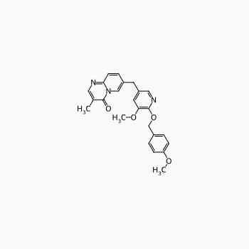 COc1ccc(COc2ncc(Cc3ccc4ncc(C)c(=O)n4c3)cc2OC)cc1